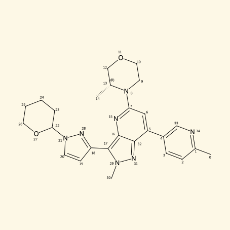 Cc1ccc(-c2cc(N3CCOC[C@H]3C)nc3c(-c4ccn(C5CCCCO5)n4)n(C)nc23)cn1